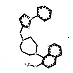 FC(F)(F)Oc1ccc2cccnc2c1N1CCCN(Cc2ccn(-c3ccccc3)n2)CC1